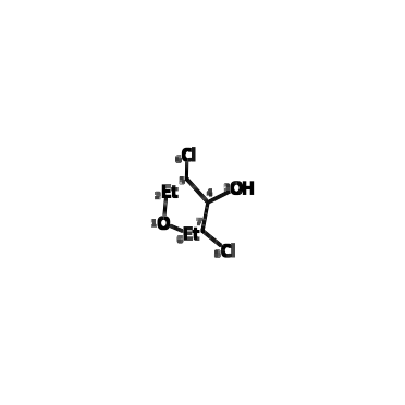 CCOCC.OC(CCl)CCl